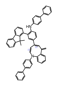 C=C1/C=C(c2ccc(Nc3ccc(-c4ccccc4)cc3)c(-c3cccc4c3C(C)(C)c3ccccc3-4)c2)\C=C/N(c2ccc(-c3ccccc3)cc2)c2ccccc21